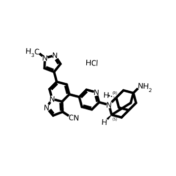 Cl.Cn1cc(-c2cc(-c3ccc(N4[C@@H]5CC6C[C@H]4CC(N)(C6)C5)nc3)c3c(C#N)cnn3c2)cn1